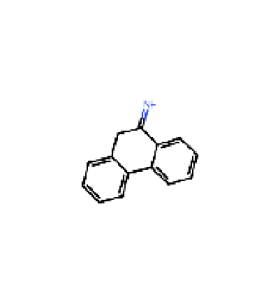 N=C1Cc2ccccc2-c2ccccc21